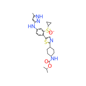 Cc1cc(Nc2ccc(-c3cnc(C4CCC(NC(=O)OC(C)C)CC4)s3)c([S+]([O-])C3CC3)c2)n[nH]1